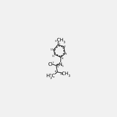 Cc1ccc(N=C(Cl)C(C)C)cc1